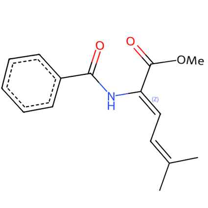 COC(=O)/C(=C/C=C(C)C)NC(=O)c1ccccc1